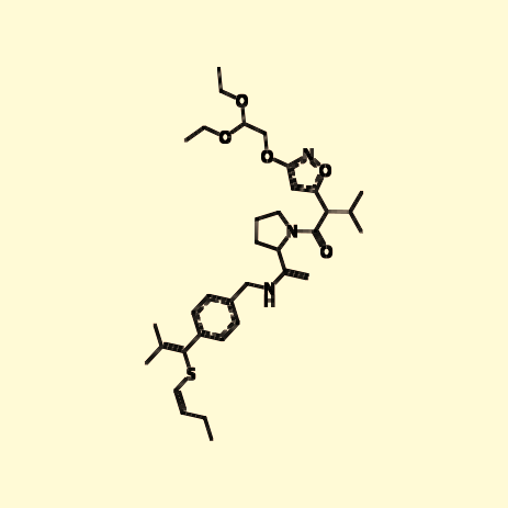 C=C(NCc1ccc(C(S/C=C\CC)=C(C)C)cc1)C1CCCN1C(=O)C(c1cc(OCC(OCC)OCC)no1)C(C)C